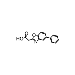 O=C(O)Cc1nc2cc(-c3ccccc3)ccc2o1